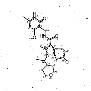 COc1cc(C)[nH]c(=O)c1CNC(=O)c1c(C)n(C(C)C2CCOCC2)c2cc(Cl)ccc12